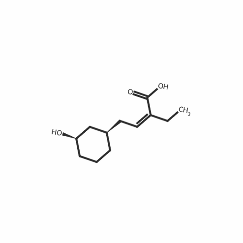 CCC(=CC[C@H]1CCC[C@@H](O)C1)C(=O)O